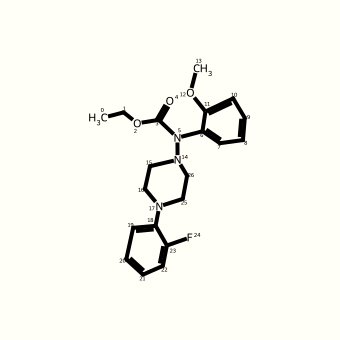 CCOC(=O)N(c1ccccc1OC)N1CCN(c2ccccc2F)CC1